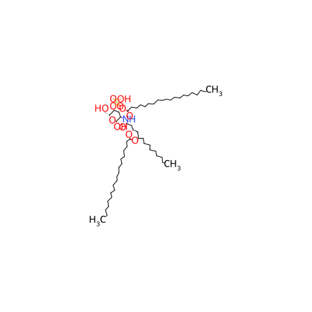 CCCCCCCCCCCCCCCCCCCC(=O)O[C@H](CCCCCCCCCCC)CC(=O)N[C@H]1C(O)O[C@H](CO)[C@@H](OS(=O)(=O)O)[C@@H]1OC(=O)CCCCCCCCCCCCCCCCCCC